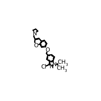 CC(C)n1nc(Cl)c2cc(COc3ccc4c(c3)OCC(CN3CCC3)=C4)ccc21